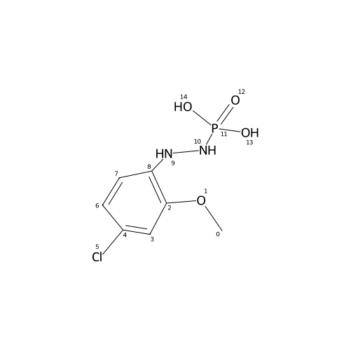 COc1cc(Cl)ccc1NNP(=O)(O)O